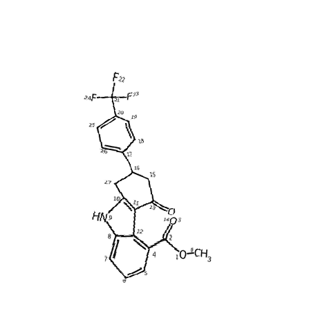 COC(=O)c1cccc2[nH]c3c(c12)C(=O)CC(c1ccc(C(F)(F)F)cc1)C3